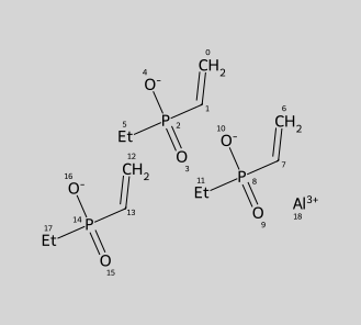 C=CP(=O)([O-])CC.C=CP(=O)([O-])CC.C=CP(=O)([O-])CC.[Al+3]